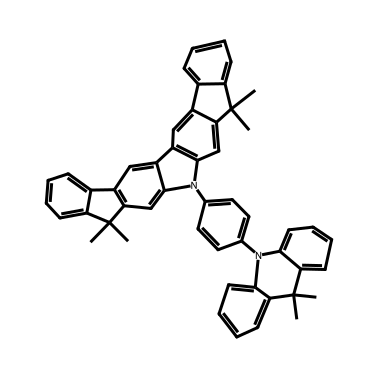 CC1(C)c2ccccc2-c2cc3c4cc5c(cc4n(-c4ccc(N6c7ccccc7C(C)(C)c7ccccc76)cc4)c3cc21)C(C)(C)c1ccccc1-5